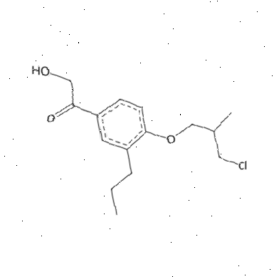 CCCc1cc(C(=O)CO)ccc1OCC(C)CCl